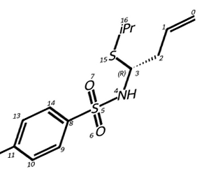 C=CC[C@H](NS(=O)(=O)c1ccc(C)cc1)SC(C)C